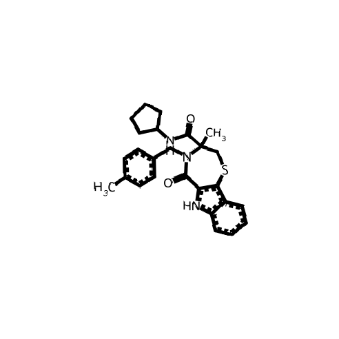 Cc1ccc(CN2C(=O)c3[nH]c4ccccc4c3SCC2(C)C(=O)NC2CCCC2)cc1